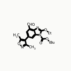 CCOc1nc2c(C=O)cc(-c3c(C)noc3C)cc2n1C(=O)OC(C)(C)C